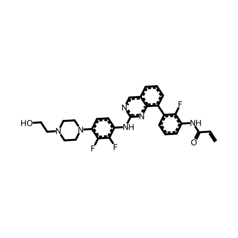 C=CC(=O)Nc1cccc(-c2cccc3cnc(Nc4ccc(N5CCN(CCO)CC5)c(F)c4F)nc23)c1F